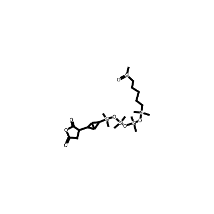 C[Si](=O)CCCCC[Si](C)(C)O[Si](C)(C)O[Si](C)(C)O[Si](C)(C)C1C2C(C3CC(=O)OC3=O)C21